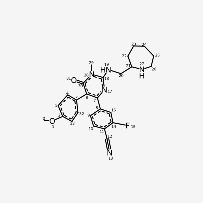 COc1ccc(-c2c(-c3ccc(C#N)c(F)c3)nc(NCC3CCCCCN3)n(C)c2=O)cc1